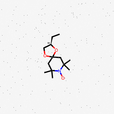 CC[C@@H]1COC2(CC(C)(C)N([O])C(C)(C)C2)O1